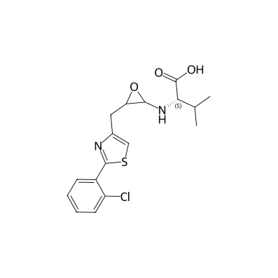 CC(C)[C@H](NC1OC1Cc1csc(-c2ccccc2Cl)n1)C(=O)O